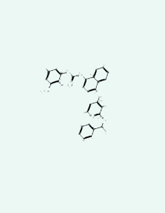 COc1cc(C(C)(C)C)cc(NC(=O)Nc2ccc(Oc3ccnc(NC(C)c4ccccc4)c3)c3ccccc23)c1OC